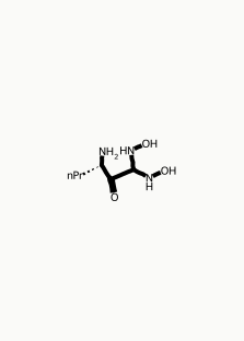 CCC[C@H](N)C(=O)C(NO)NO